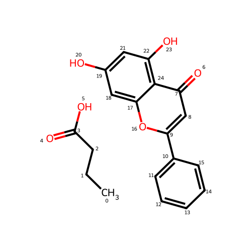 CCCC(=O)O.O=c1cc(-c2ccccc2)oc2cc(O)cc(O)c12